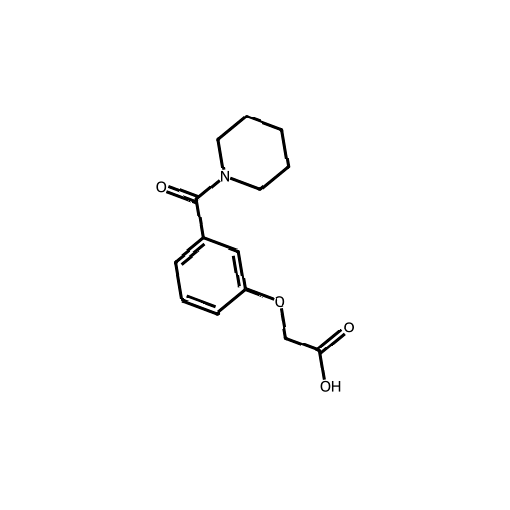 O=C(O)COc1cccc(C(=O)N2CCCCC2)c1